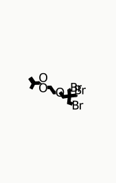 C=C(C)C(=O)OCCOCC(CBr)(CBr)CBr